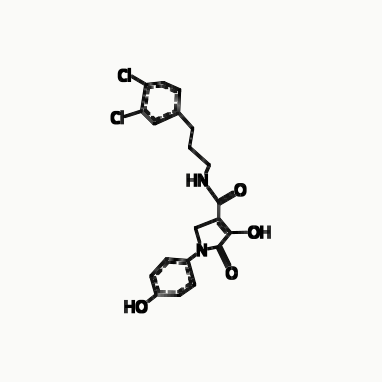 O=C(NCCCc1ccc(Cl)c(Cl)c1)C1=C(O)C(=O)N(c2ccc(O)cc2)C1